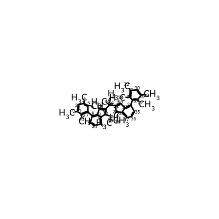 Cc1cc(C)c(C)c(-c2cccc3c2C=C2[CH]3[Hf]([CH3])([CH3])[CH]3C(=Cc4c(-c5c(C)c(C)cc(C)c5C)cccc43)C2(C)C)c1C